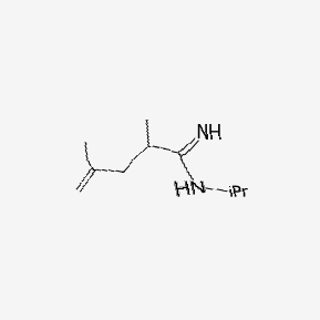 C=C(C)CC(C)C(=N)NC(C)C